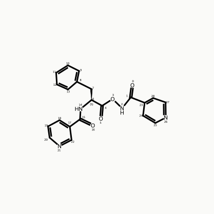 O=C(NOC(=O)[C@H](Cc1ccccc1)NC(=O)c1cccnc1)c1ccncc1